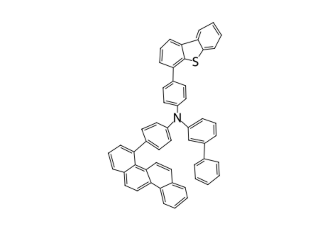 c1ccc(-c2cccc(N(c3ccc(-c4cccc5c4sc4ccccc45)cc3)c3ccc(-c4cccc5ccc6c7ccccc7ccc6c45)cc3)c2)cc1